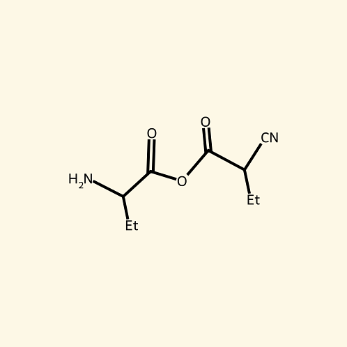 CCC(N)C(=O)OC(=O)C(C#N)CC